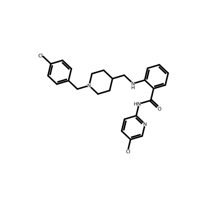 O=C(Nc1ccc(Cl)cn1)c1ccccc1NCC1CCN(Cc2ccc(Cl)cc2)CC1